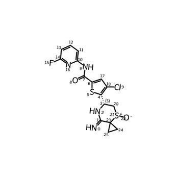 N=C1N[C@H](c2sc(C(=O)Nc3cccc(F)n3)cc2Cl)C[S+]([O-])C12CC2